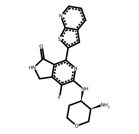 N[C@H]1COCC[C@H]1Nc1nc(-c2cc3cccnc3s2)c2c(c1F)CNC2=O